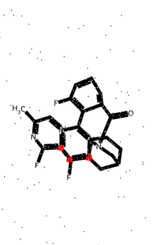 Cc1cnc(OC2CC3CCC2N(C(=O)c2cccc(F)c2-c2ncc(F)cn2)C3)c(F)n1